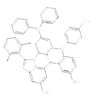 Cc1cccc(C)c1-c1nc2cc(C(C)(C)C)cc3c2n1-c1cc(N(c2ccccc2)c2ccccc2)cc2c1C3c1cc(C(C)(C)C)ccc1N2c1ccc(C(C)(C)C)cc1